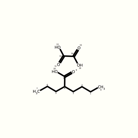 CCCCC(CCC)C(=O)O.O=C(O)C(=O)O